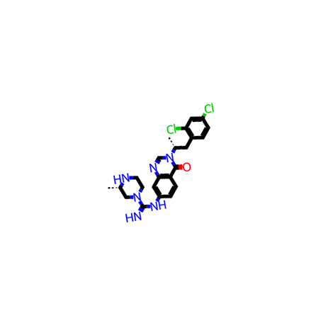 C[C@H](Cc1ccc(Cl)cc1Cl)n1cnc2cc(NC(=N)N3CCN[C@@H](C)C3)ccc2c1=O